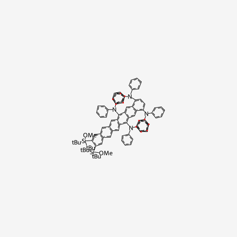 CO[Si](c1cc2cc3cc4c(N(c5ccccc5)c5ccccc5)c5cc6c(N(c7ccccc7)c7ccccc7)ccc(N(c7ccccc7)c7ccccc7)c6cc5c(N(c5ccccc5)c5ccccc5)c4cc3cc2cc1[Si](OC)(C(C)(C)C)C(C)(C)C)(C(C)(C)C)C(C)(C)C